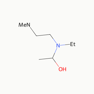 CCN(CCNC)C(C)O